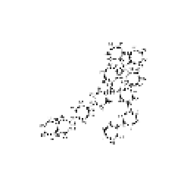 c1ccc(-c2cccc(-c3cccc(N(c4ccc(-c5ccc(-c6ccc7ccccc7c6)cc5)cc4)c4cccc5c4-c4ccccc4C5(c4ccccc4)c4ccccc4)c3)c2)cc1